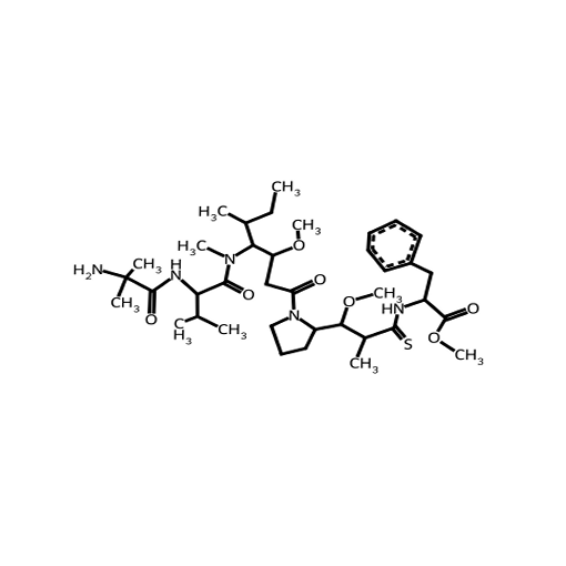 CCC(C)C(C(CC(=O)N1CCCC1C(OC)C(C)C(=S)NC(Cc1ccccc1)C(=O)OC)OC)N(C)C(=O)C(NC(=O)C(C)(C)N)C(C)C